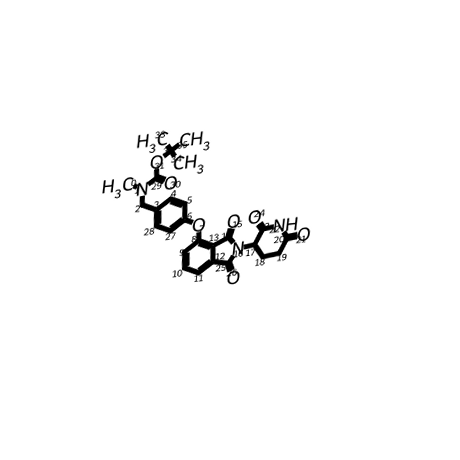 CN(Cc1ccc(Oc2cccc3c2C(=O)N(C2CCC(=O)NC2=O)C3=O)cc1)C(=O)OC(C)(C)C